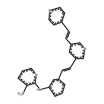 O=[N+]([O-])c1cccnc1Nc1cccc(C=Cc2cncc(/C=C/c3ccncc3)c2)c1